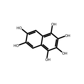 Oc1cc2c(O)c(O)c(O)c(O)c2cc1O